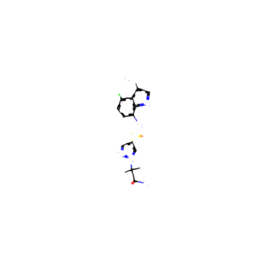 CC(C)(C(N)=O)n1cc(S(=O)(=O)Nc2ccc(Cl)c3c(C#N)c[nH]c23)cn1